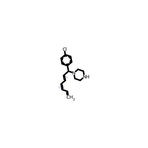 C=C/C=C\C=C\C(c1ccc(Cl)cc1)N1CCNCC1